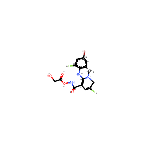 CN1CC(F)=CC(C(=O)NOC(=O)CO)=C1Nc1ccc(Br)cc1F